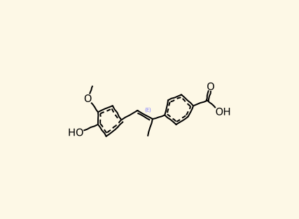 COc1cc(/C=C(\C)c2ccc(C(=O)O)cc2)ccc1O